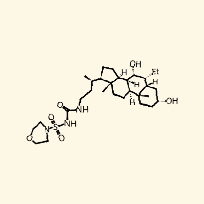 CC[C@H]1[C@@H](O)[C@@H]2[C@H](CC[C@]3(C)[C@@H]([C@H](C)CCNC(=O)NS(=O)(=O)N4CCOCC4)CC[C@@H]23)[C@@]2(C)CC[C@@H](O)C[C@@H]12